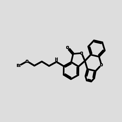 CCOCCCNc1cccc2c1C(=O)OC21c2ccccc2Oc2ccccc21